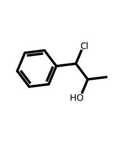 CC(O)C(Cl)c1ccccc1